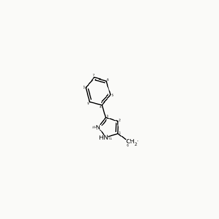 [CH2]c1cc(-c2ccccc2)n[nH]1